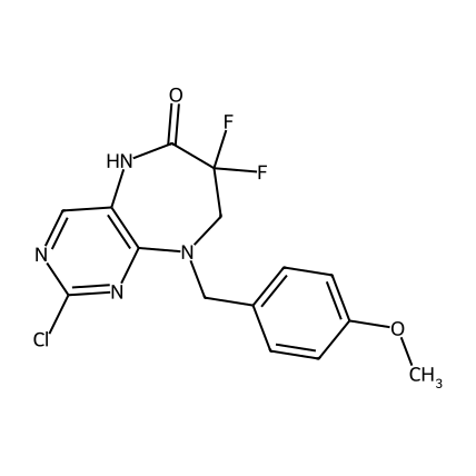 COc1ccc(CN2CC(F)(F)C(=O)Nc3cnc(Cl)nc32)cc1